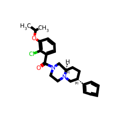 CC(C)Oc1cccc(C(=O)N2CCN3C[C@@H](c4ccccc4)CC[C@@H]3C2)c1Cl